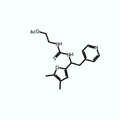 CC(=O)OCCNC(=S)NC(Cc1ccncc1)c1cc(C)c(C)o1